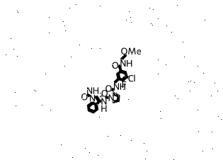 COCCNC(=O)c1cc(Cl)c(F)c(CNC(=O)[C@@H]2CCCN2C(=O)Nc2cn(C(N)=O)c3ccccc23)c1